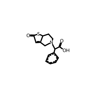 O=C1C=C2CN(C(C(=O)O)c3ccccc3)CCC2S1